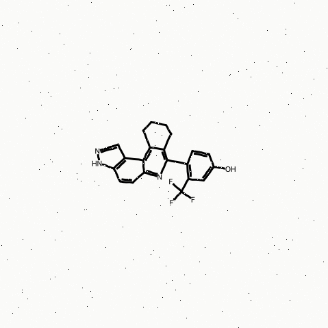 Oc1ccc(-c2nc3ccc4[nH]ncc4c3c3c2CCCC3)c(C(F)(F)F)c1